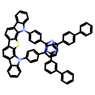 c1ccc(-c2ccc(-c3nc(-c4ccc(-n5c6ccccc6c6ccc7c8ccc9c%10ccccc%10n(-c%10ccc(-c%11ccccc%11)cc%10)c9c8sc7c65)cc4)nc(-c4cccc(-c5ccccc5)c4)n3)cc2)cc1